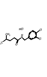 CC(C)CCC(=O)NCc1ccc(Cl)c(Cl)c1.Cl